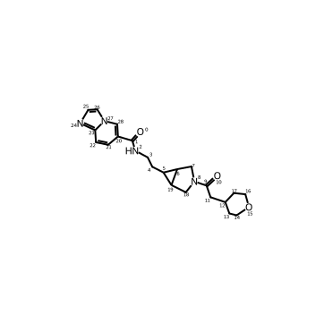 O=C(NCCC1C2CN(C(=O)CC3CCOCC3)CC12)c1ccc2nccn2c1